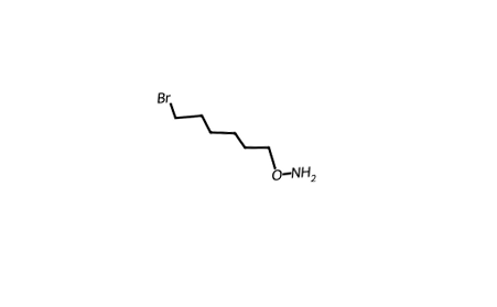 NOCCCCCCBr